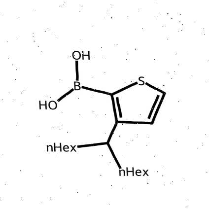 CCCCCCC(CCCCCC)c1ccsc1B(O)O